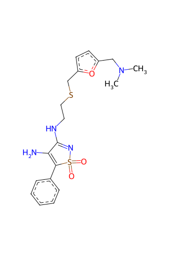 CN(C)Cc1ccc(CSCCNC2=NS(=O)(=O)C(c3ccccc3)=C2N)o1